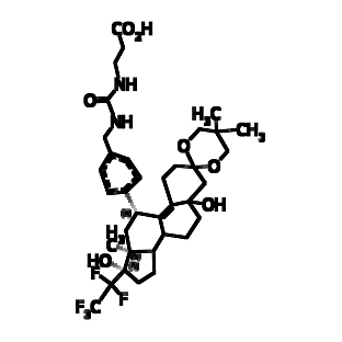 CC1(C)COC2(CCC3=C4C(CCC3(O)C2)C2CC[C@@](O)(C(F)(F)C(F)(F)F)[C@@]2(C)C[C@@H]4c2ccc(CNC(=O)NCCC(=O)O)cc2)OC1